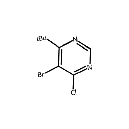 CC(C)(C)c1ncnc(Cl)c1Br